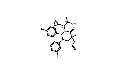 C=CCC1(C)CC(c2cccc(Cl)c2)[C@@H](c2ccc(Cl)cc2)N([C@@H](C2CC2)[C@@H](C)O)C1=O